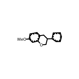 COc1ccc2c(c1)OCC(c1ccccc1)C2